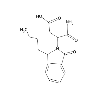 CCCCC1c2ccccc2C(=O)N1C(CC(=O)O)C(N)=O